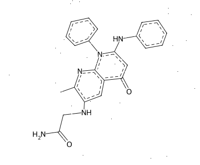 Cc1nc2c(cc1NCC(N)=O)c(=O)cc(Nc1ccccc1)n2-c1ccccc1